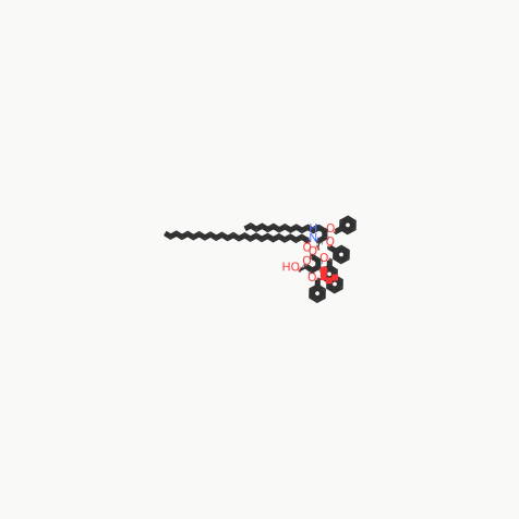 CCCCCCCCCCCCC=C[C@@H](OCc1ccccc1)[C@@H](OCc1ccccc1)[C@H](CO[C@H]1O[C@H](CO)[C@H](OCc2ccccc2)[C@H](OCc2ccccc2)[C@H]1OCc1ccccc1)NC(=O)CCCCCCCCCCCCCCCCCCCCCCCCC